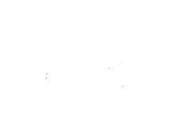 BCCCCC(N)(CCNCCCc1ccc(Cl)cc1Cl)C(=O)O